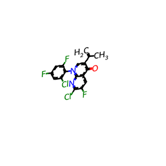 C=C(C)c1cn(-c2c(F)cc(F)cc2Cl)c2nc(Cl)c(F)cc2c1=O